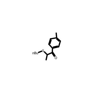 CCCCSC(C)C(=O)c1ccc(C)cc1